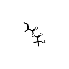 C/C=C(\C)C(=O)OC(=O)C(C)(C)CC